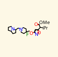 COC(=O)C(c1cc(OCC2(F)CCN(CC3CCC4CCCN43)CC2)no1)C(C)C